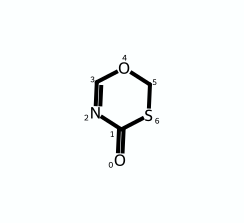 O=C1N=COCS1